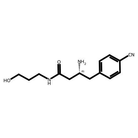 N#Cc1ccc(C[C@@H](N)CC(=O)NCCCO)cc1